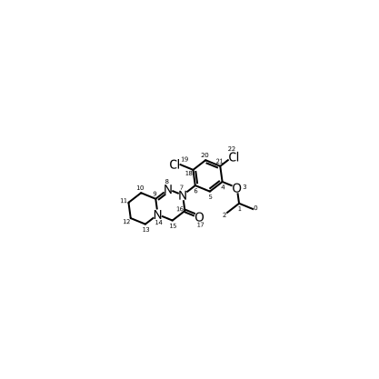 CC(C)Oc1cc(N2N=C3CCCCN3CC2=O)c(Cl)cc1Cl